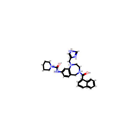 O=C(Nc1ccc2c(c1)N(Cc1c[nH]cn1)CCN(C(=O)c1cccc3ccccc13)C2)N1CCCCC1